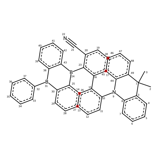 CC1(C)c2ccccc2N(c2ccccc2-c2cncc(C#N)c2B2c3ccccc3B(c3ccccc3)c3ccccc32)c2ccccc21